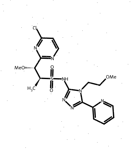 COCCn1c(NS(=O)(=O)[C@@H](C)[C@H](OC)c2nccc(Cl)n2)nnc1-c1ccccn1